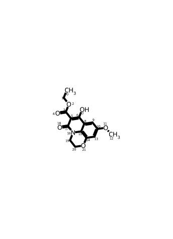 CCOC(=O)c1c(O)c2cc(OC)cc3c2n(c1=O)CCO3